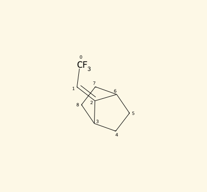 FC(F)(F)C=C1C2CCC1CC2